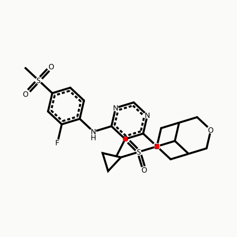 Cc1c(Nc2ccc(S(C)(=O)=O)cc2F)ncnc1OC1C2COCC1CN(S(=O)(=O)C1CC1)C2